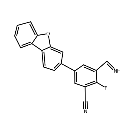 N#Cc1cc(-c2ccc3c(c2)oc2ccccc23)cc(C=N)c1F